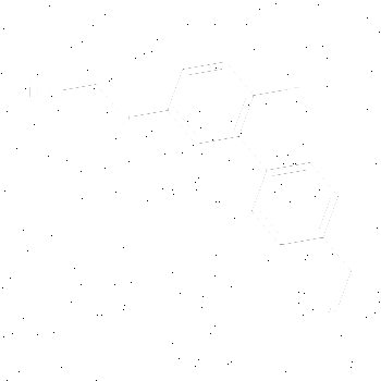 CCOc1ccc(F)c(-c2ccc(CBr)cc2)c1